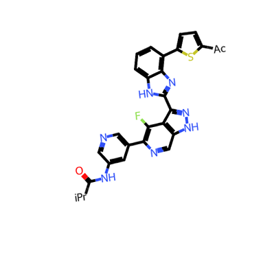 CC(=O)c1ccc(-c2cccc3[nH]c(-c4n[nH]c5cnc(-c6cncc(NC(=O)C(C)C)c6)c(F)c45)nc23)s1